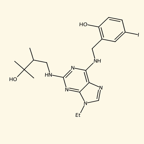 CCn1cnc2c(NCc3cc(I)ccc3O)nc(NCC(C)C(C)(C)O)nc21